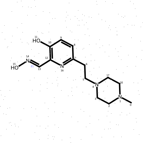 CN1CCN(CCc2ccc(O)c(/C=N/O)n2)CC1